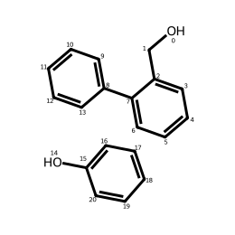 OCc1ccccc1-c1ccccc1.Oc1ccccc1